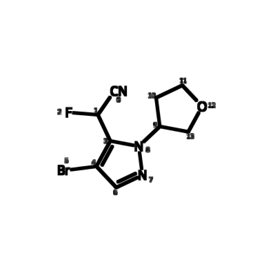 N#CC(F)c1c(Br)cnn1C1CCOC1